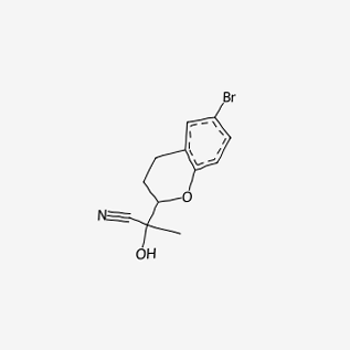 CC(O)(C#N)C1CCc2cc(Br)ccc2O1